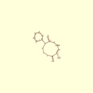 O=C1CCCC(c2ccccc2)C(=O)CNC=C1Cl